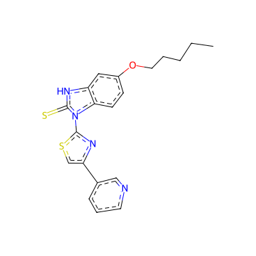 CCCCCOc1ccc2c(c1)[nH]c(=S)n2-c1nc(-c2cccnc2)cs1